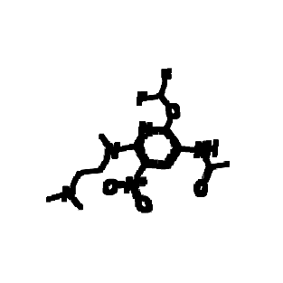 CC(=O)Nc1cc([N+](=O)[O-])c(N(C)CCN(C)C)nc1OC(F)F